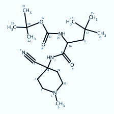 CN1CCC(C#N)(NC(=O)C(CC(C)(C)C)NC(=O)OC(C)(C)C)CC1